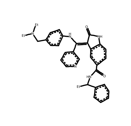 CCC(NC(=O)c1ccc2c(c1)/C(=C(/Nc1ccc(CN(CC)CC)cc1)c1cccnc1)C(=O)N2)c1ccccc1